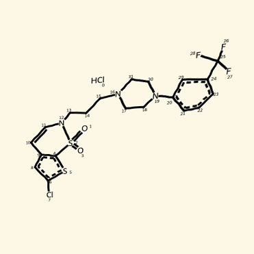 Cl.O=S1(=O)c2sc(Cl)cc2C=CN1CCCN1CCN(c2cccc(C(F)(F)F)c2)CC1